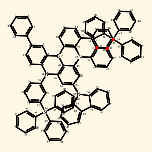 c1ccc(-c2ccc3c(c2)B2c4cccc(-c5ccccc5)c4N(c4cccc([Si](c5ccccc5)(c5ccccc5)c5ccccc5)c4)c4cc(-n5c6ccccc6c6ccccc65)cc(c42)N3c2cccc([Si](c3ccccc3)(c3ccccc3)c3ccccc3)c2)cc1